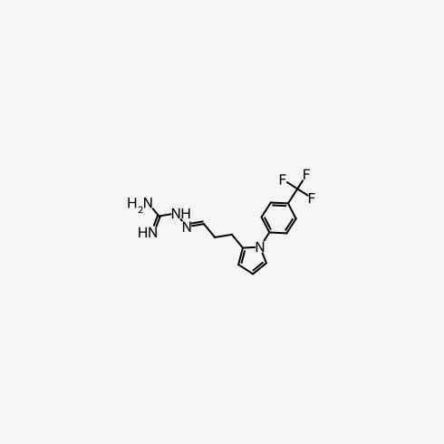 N=C(N)NN=CCCc1cccn1-c1ccc(C(F)(F)F)cc1